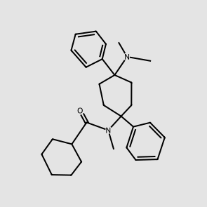 CN(C)C1(c2ccccc2)CCC(c2ccccc2)(N(C)C(=O)C2CCCCC2)CC1